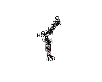 CC[C@H](CC[C@@]1(C)[C@H](C)CC[C@]2(C)[C@@H]1CC[C@@H]1C3=C(C(C)C)C(=O)C[C@]3(C/C(=C/C(=O)Nc3ccc(Cl)c(CC(C)(CC(=O)O[C@H]4CC[C@]5(C)[C@H]6CC[C@@H]7C8=C(C(C)C)C(=O)C[C@]8(Cc8cc(=O)n(-c9ccc(Cl)cn9)n8C)CC[C@@]7(C)[C@]6(C)CC[C@H]5C4(C)C)C(=O)O)c3)NC)CC[C@]12C)OC(=O)CC(C)(C)C(=O)O